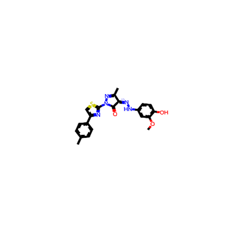 COc1cc(N/N=C2\C(=O)N(c3nc(-c4ccc(C)cc4)cs3)N=C2C)ccc1O